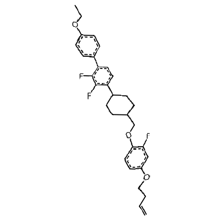 C=CCCOc1ccc(OCC2CCC(c3ccc(-c4ccc(OCC)cc4)c(F)c3F)CC2)c(F)c1